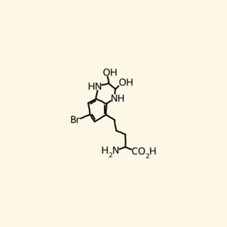 NC(CCCc1cc(Br)cc2c1NC(O)C(O)N2)C(=O)O